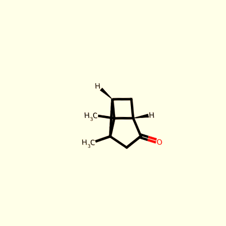 CC12CC(=O)[C@H]3C[C@@H]1C32C